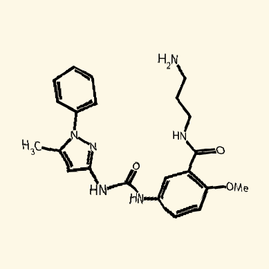 COc1ccc(NC(=O)Nc2cc(C)n(-c3ccccc3)n2)cc1C(=O)NCCCN